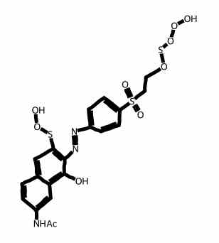 CC(=O)Nc1ccc2cc(SOO)c(/N=N/c3ccc(S(=O)(=O)CCOSOOO)cc3)c(O)c2c1